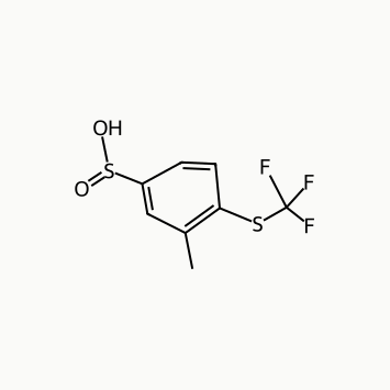 Cc1cc(S(=O)O)ccc1SC(F)(F)F